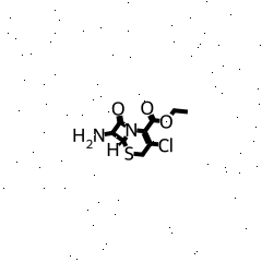 CCOC(=O)C1=C(Cl)CS[C@@H]2C(N)C(=O)N12